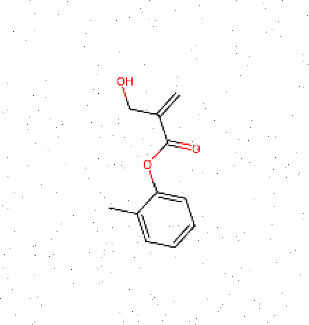 C=C(CO)C(=O)Oc1ccccc1C